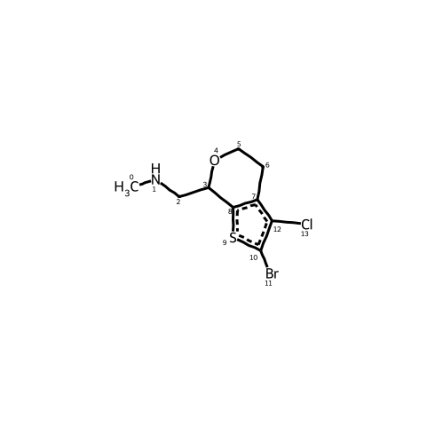 CNCC1OCCc2c1sc(Br)c2Cl